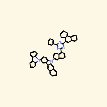 c1ccc(-c2nc(-c3cccc4cc(-n5c6ccc(-n7c8ccccc8c8ccccc87)cc6c6cc7ccccc7cc65)ccc34)nc(-c3cc4ccccc4c4ccccc34)n2)cc1